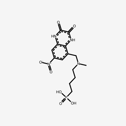 CN(CCCCP(=O)(O)O)Cc1cc([N+](=O)[O-])cc2[nH]c(=O)c(=O)[nH]c12